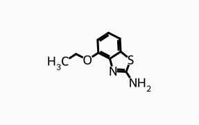 CCOc1cccc2sc(N)nc12